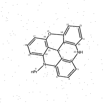 CCCN1c2cccc3c2C2c4c(cccc4Oc4cccc1c42)N3